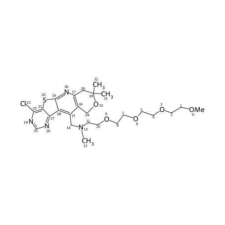 COCCOCCOCCOCCN(C)Cc1c2c(nc3sc4c(Cl)ncnc4c13)CC(C)(C)OC2